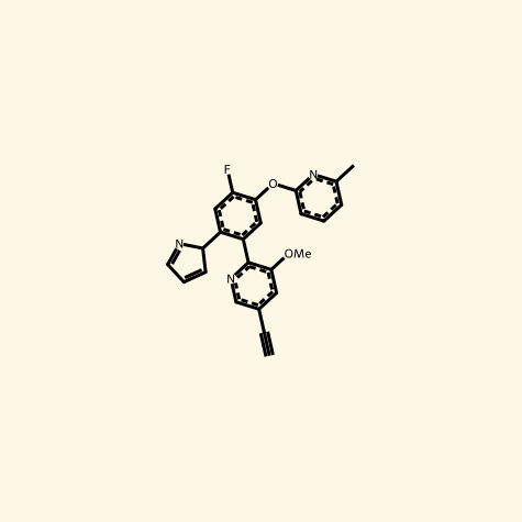 C#Cc1cnc(-c2cc(Oc3cccc(C)n3)c(F)cc2C2C=CC=N2)c(OC)c1